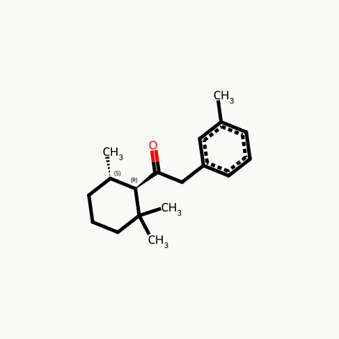 Cc1cccc(CC(=O)[C@@H]2[C@@H](C)CCCC2(C)C)c1